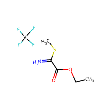 CCOC(=O)C(=[NH2+])SC.F[B-](F)(F)F